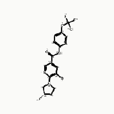 O=C(Nc1ccc(OC(F)(F)Cl)cc1)c1cnc(N2CC[C@H](F)C2)c(Br)c1